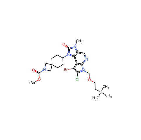 Cn1c(=O)n(C2CCC3(CC2)CN(C(=O)OC(C)(C)C)C3)c2c3c(Br)c(Cl)n(COCC[Si](C)(C)C)c3ncc21